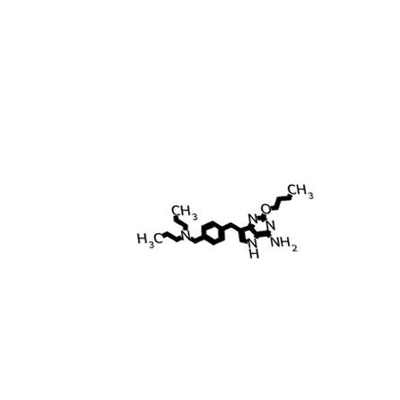 CCCCOc1nc(N)c2[nH]cc(Cc3ccc(CN(CCC)CCC)cc3)c2n1